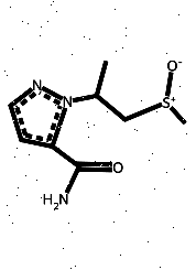 CC(C[S+](C)[O-])n1nccc1C(N)=O